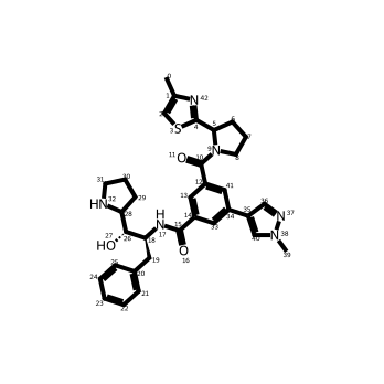 Cc1csc(C2CCCN2C(=O)c2cc(C(=O)N[C@@H](Cc3ccccc3)[C@H](O)C3CCCN3)cc(-c3cnn(C)c3)c2)n1